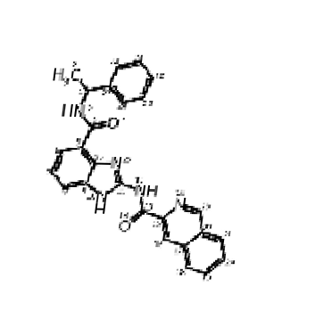 CC(NC(=O)c1cccc2[nH]c(NC(=O)c3cc4ccccc4cn3)nc12)c1ccccc1